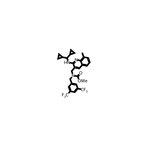 COC(=O)N(Cc1cc(C(F)(F)F)cc(C(F)(F)F)c1)Cc1cc2cccc(C)c2nc1NC(C1CC1)C1CC1